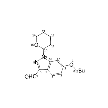 CCCCOc1ccc2c(C=O)nn(C3CCCCO3)c2c1